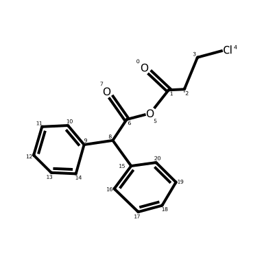 O=C([CH]CCl)OC(=O)C(c1ccccc1)c1ccccc1